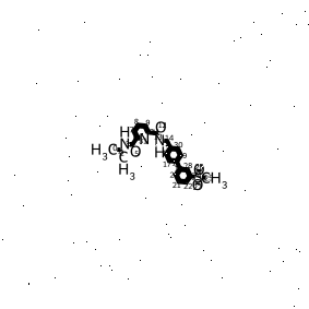 CC(C)NC(=O)c1cccc(C(=O)NCc2ccc(-c3cccc(S(C)(=O)=O)c3)cc2)n1